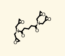 O=C(CCCC(=O)N(CC1CO1)CC1CO1)N(CC1CO1)CC1CO1